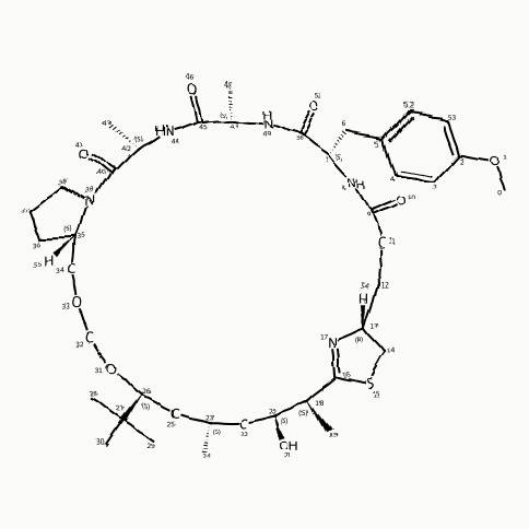 COc1ccc(C[C@@H]2NC(=O)CC[C@@H]3CSC(=N3)[C@@H](C)[C@@H](O)C[C@H](C)C[C@@H](C(C)(C)C)OCOC[C@@H]3CCCN3C(=O)[C@H](C)NC(=O)[C@H](C)NC2=O)cc1